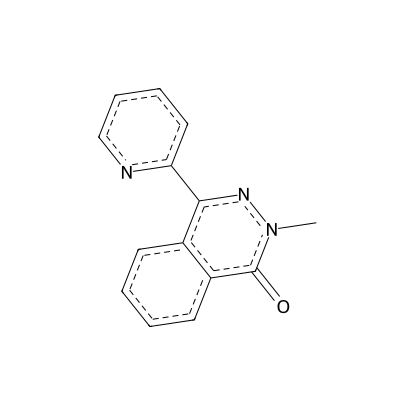 Cn1nc(-c2ccccn2)c2ccccc2c1=O